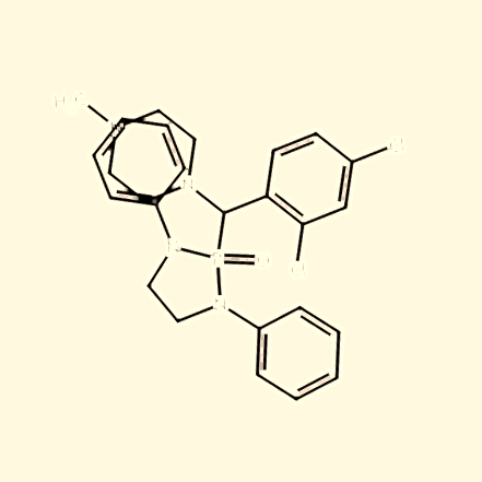 CN1CCN(C(c2ccc(Cl)cc2Cl)P2(=O)N(c3ccccc3)CCN2c2ccccc2)CC1